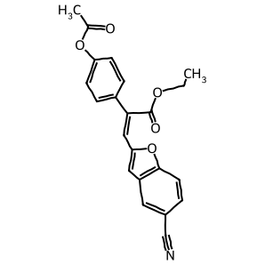 CCOC(=O)C(=Cc1cc2cc(C#N)ccc2o1)c1ccc(OC(C)=O)cc1